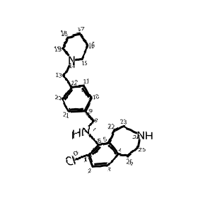 Clc1ccc2c(c1NCc1ccc(CN3CCCCC3)cc1)CCNCC2